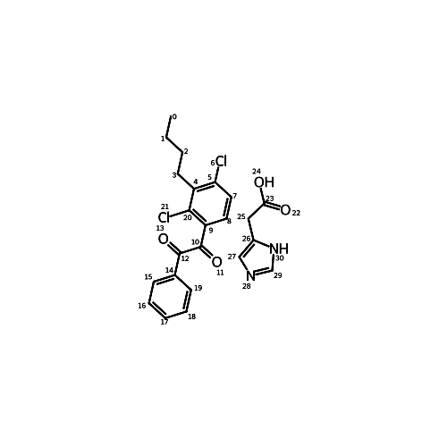 CCCCc1c(Cl)ccc(C(=O)C(=O)c2ccccc2)c1Cl.O=C(O)Cc1cnc[nH]1